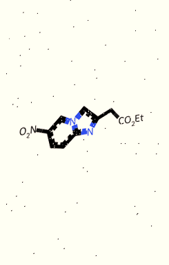 CCOC(=O)Cc1cn2cc([N+](=O)[O-])ccc2n1